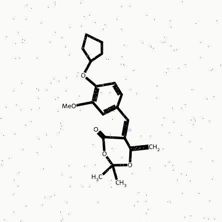 C=C1OC(C)(C)OC(=O)/C1=C\c1ccc(OC2CCCC2)c(OC)c1